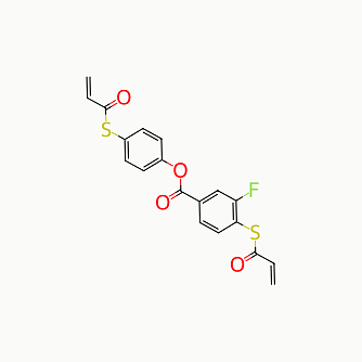 C=CC(=O)Sc1ccc(OC(=O)c2ccc(SC(=O)C=C)c(F)c2)cc1